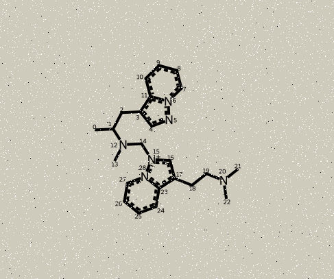 CC(Cc1cnn2ccccc12)N(C)C[n+]1cc(CCN(C)C)c2ccccn21